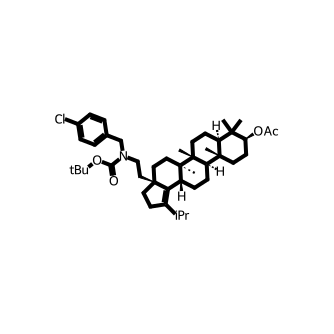 CC(=O)O[C@H]1CC[C@]2(C)[C@H]3CC[C@@H]4C5=C(C(C)C)CC[C@]5(CCN(Cc5ccc(Cl)cc5)C(=O)OC(C)(C)C)CC[C@@]4(C)[C@]3(C)CC[C@H]2C1(C)C